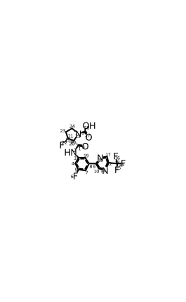 O=C(Nc1cc(F)cc(-c2cnc(C(F)(F)F)cn2)c1)[C@@H]1[C@@H](F)CCN1C(=O)O